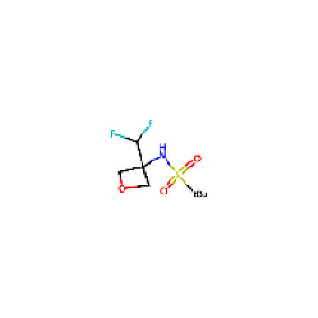 CC(C)(C)S(=O)(=O)NC1(C(F)F)COC1